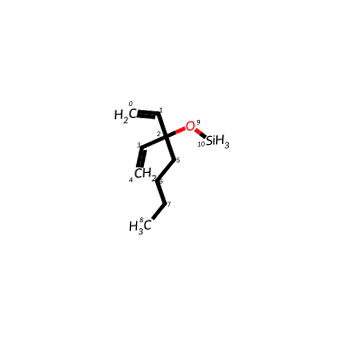 C=CC(C=C)(CCCC)O[SiH3]